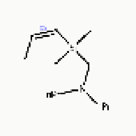 C/C=C\[Si](C)(C)CN(CCC)CCC